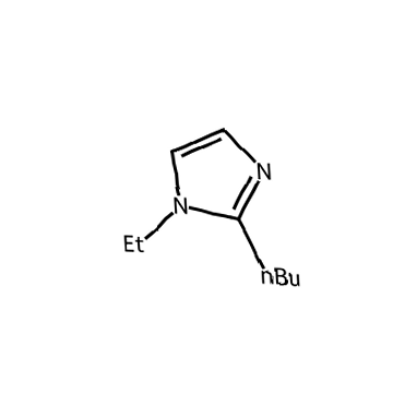 CCCCc1nccn1CC